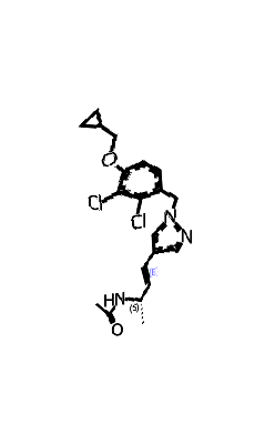 CC(=O)N[C@@H](C)/C=C/c1cnn(Cc2ccc(OCC3CC3)c(Cl)c2Cl)c1